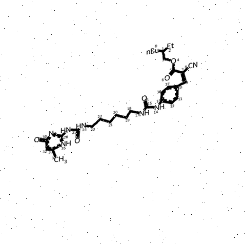 CCCCC(CC)COC(=O)/C(C#N)=C\c1ccc(NC(=O)NCCCCCCNC(=O)Nc2nc(=O)cc(C)[nH]2)cc1